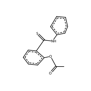 CC(=O)Oc1ccccc1C(=S)Nc1ccccc1